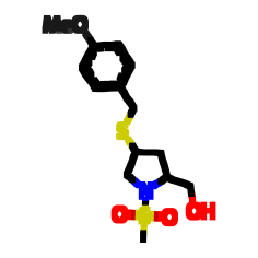 COc1ccc(CSC2CC(CO)N(S(C)(=O)=O)C2)cc1